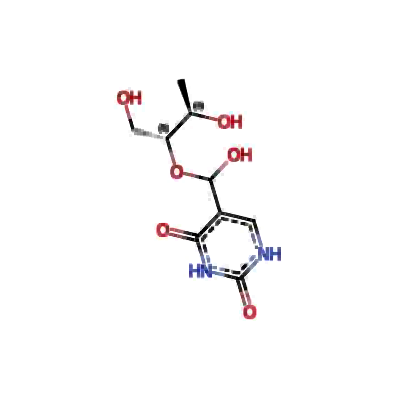 C[C@@H](O)[C@@H](CO)OC(O)c1c[nH]c(=O)[nH]c1=O